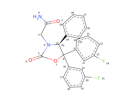 NC(=O)CN1C(=O)OC(c2cccc(F)c2)(c2cccc(F)c2)[C@@H]1c1ccccc1